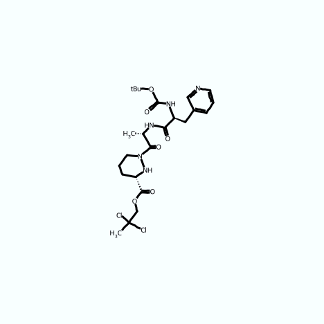 C[C@H](NC(=O)[C@H](Cc1cccnc1)NC(=O)OC(C)(C)C)C(=O)N1CCC[C@@H](C(=O)OCC(C)(Cl)Cl)N1